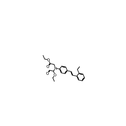 CCOC(=O)CN(c1ccc(/C=C/c2ccccc2CC)cc1)C(C=O)OCC